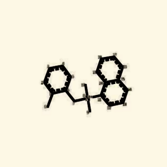 Cc1ccccc1C[N+](C)(C)c1cccc2ccccc12